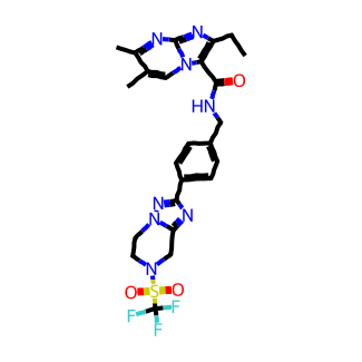 CCc1nc2nc(C)c(C)cn2c1C(=O)NCc1ccc(-c2nc3n(n2)CCN(S(=O)(=O)C(F)(F)F)C3)cc1